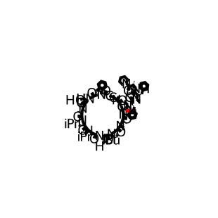 CC[C@H](C)[C@@H]1NC(=O)[C@H](C(C)C)N(C)C(=O)[C@H](CC(C)C)N(C)C(=O)[C@H](C)N(C)C(=O)[C@H]([C@@H](C)O)NC(=O)[C@H](Cc2ccccc2)N(C)C(=O)CCN(C)C(=O)C[C@@H](C(=O)N(C)[C@@H](Cc2ccccc2)C(=O)N(C)[C@@H](Cc2ccccc2)C(=O)N[C@@H](C)C(=O)N2CCCCC2)NC(=O)[C@H](C)N(C)C(=O)[C@H](CC(C)C)N(C)C1=O